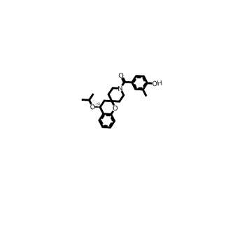 Cc1cc(C(=O)N2CCC3(CC2)C[C@H](OC(C)C)c2ccccc2O3)ccc1O